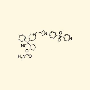 N#CC(c1ccccc1)(C1CCN(CC2CN(c3ccc(S(=O)(=O)c4ccncc4)cc3)C2)CC1)[C@H]1CCC[C@@H]1OC(N)=O